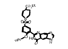 CCCOc1ccc(S(=O)(=O)N2CCC(C(=O)OCC)CC2)cc1-c1nc2cc3nc[nH]c3cc2c(=O)[nH]1